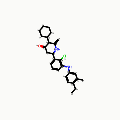 C=C1NC(c2cccc(Nc3ccc(CC)c(C)c3)c2Cl)CC(=O)C1C1CCCCC1